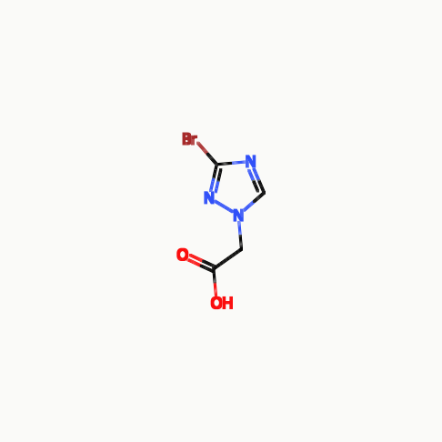 O=C(O)Cn1cnc(Br)n1